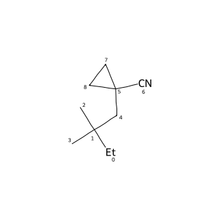 CCC(C)(C)CC1(C#N)CC1